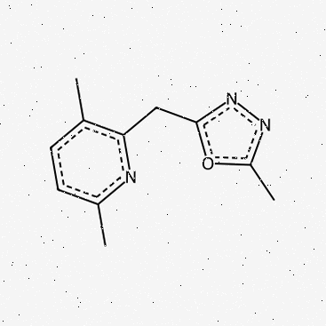 Cc1ccc(C)c(Cc2nnc(C)o2)n1